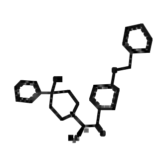 C[C@H](C(=O)c1ccc(OCc2ccccc2)cc1)N1CCC(O)(c2ccccc2)CC1